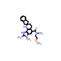 COCCN(C)C(=O)c1cc2c(c3c1CCC1(Cc4ccccc4C1)N3)NC(C)N2C